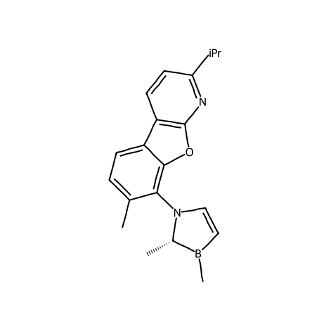 CB1C=CN(c2c(C)ccc3c2oc2nc(C(C)C)ccc23)[C@H]1C